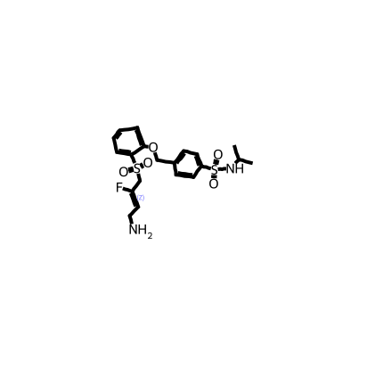 CC(C)NS(=O)(=O)c1ccc(COc2ccccc2S(=O)(=O)C/C(F)=C/CN)cc1